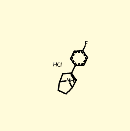 Cl.Fc1ccc(C2=CC3CCC(C2)N3)cc1